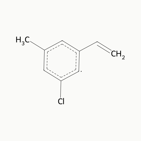 C=Cc1[c]c(Cl)cc(C)c1